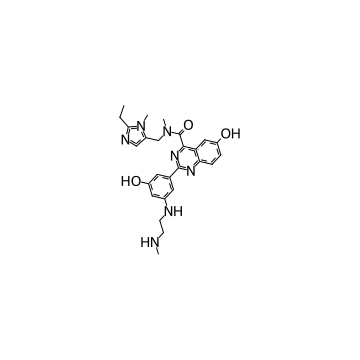 CCc1ncc(CN(C)C(=O)c2nc(-c3cc(O)cc(NCCNC)c3)nc3ccc(O)cc23)n1C